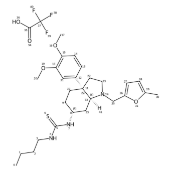 CCCCNC(=S)N[C@@H]1CC[C@@]2(c3ccc(OC)c(OC)c3)CCN(Cc3ccc(C)o3)[C@H]2C1.O=C(O)C(F)(F)F